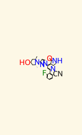 C[C@@H]1CC(O)C[C@@H](C)N1c1ccn(-c2cc(-c3c(F)cccc3C#N)nc3c2C(=O)NC3)n1